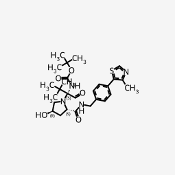 Cc1ncsc1-c1ccc(CNC(=O)[C@@H]2C[C@@H](O)CN2[C@@](C=O)(NC(=O)OC(C)(C)C)C(C)(C)C)cc1